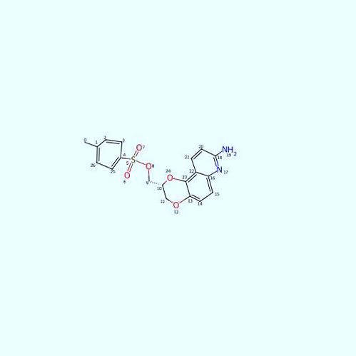 Cc1ccc(S(=O)(=O)OC[C@H]2COc3ccc4nc(N)ccc4c3O2)cc1